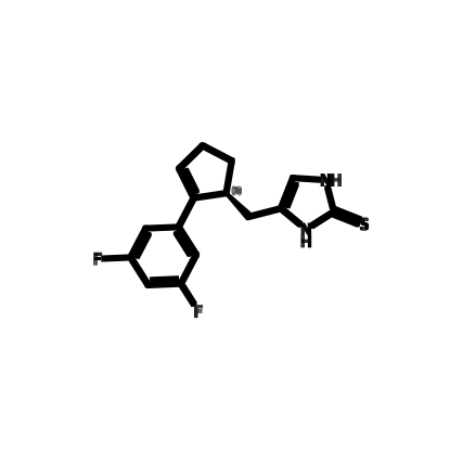 Fc1cc(F)cc(C2=CCC[C@H]2Cc2c[nH]c(=S)[nH]2)c1